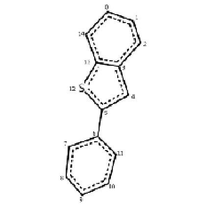 [c]1ccc2cc(-c3ccccc3)sc2c1